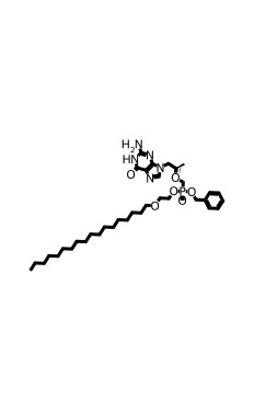 CCCCCCCCCCCCCCCCCCOCCOP(=O)(CO[C@H](C)Cn1cnc2c(=O)[nH]c(N)nc21)OCc1ccccc1